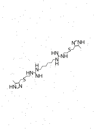 Cc1[nH]cnc1CSCCNC(=N)NCCCCCCNC(=N)NCCSCc1nc[nH]c1C